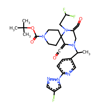 CC(c1ccc(-n2cc(F)cn2)nc1)N1CC(=C=O)N(CC(F)F)C2(CCN(C(=O)OC(C)(C)C)CC2)C1=C=O